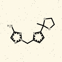 CC1(c2ccc(Cn3ncc(N)n3)s2)OCCO1